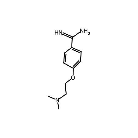 CN(C)CCOc1ccc(C(=N)N)cc1